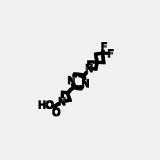 O=C(O)N1CC(c2cnc(N3CC4(C3)CC(F)(F)C4)cn2)C1